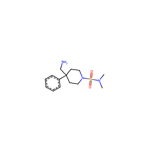 CN(C)S(=O)(=O)N1CCC(CN)(c2ccccc2)CC1